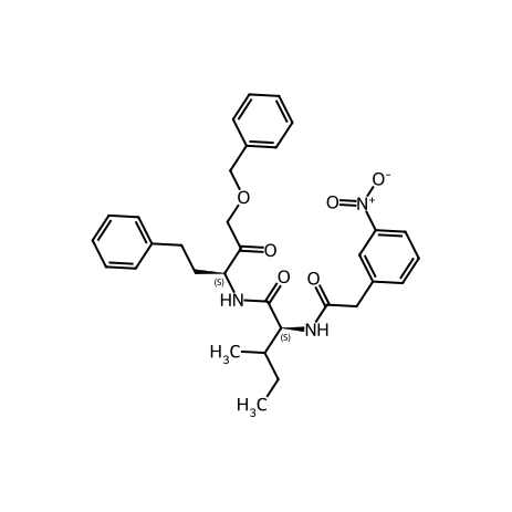 CCC(C)[C@H](NC(=O)Cc1cccc([N+](=O)[O-])c1)C(=O)N[C@@H](CCc1ccccc1)C(=O)COCc1ccccc1